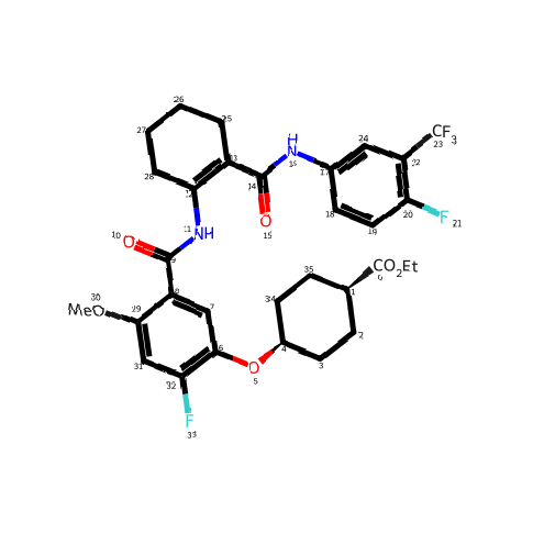 CCOC(=O)[C@H]1CC[C@@H](Oc2cc(C(=O)NC3=C(C(=O)Nc4ccc(F)c(C(F)(F)F)c4)CCCC3)c(OC)cc2F)CC1